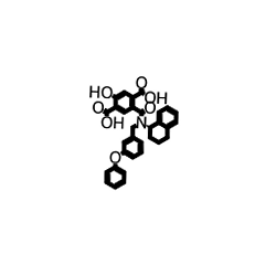 O=C(O)c1cc(C(=O)N(Cc2cccc(Oc3ccccc3)c2)[C@H]2CCCc3ccccc32)c(C(=O)O)cc1O